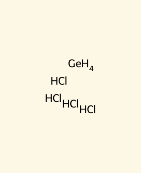 Cl.Cl.Cl.Cl.[GeH4]